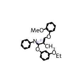 CCOc1cccc(OC(=N\c2ccccc2)/C(C)=C/Oc2ccccc2OC)c1